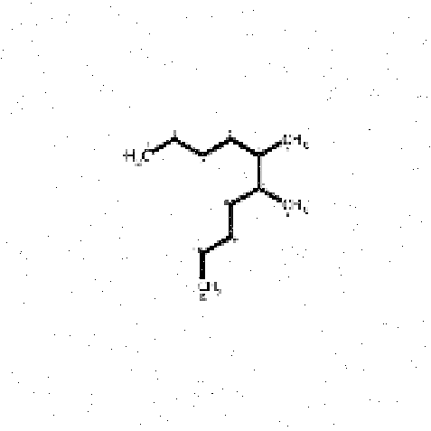 [CH2]CCCC(C)C(C)CCCC